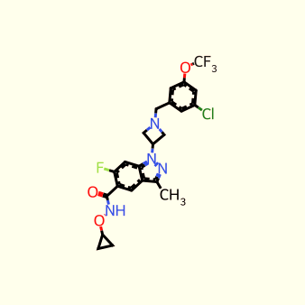 Cc1nn(C2CN(Cc3cc(Cl)cc(OC(F)(F)F)c3)C2)c2cc(F)c(C(=O)NOC3CC3)cc12